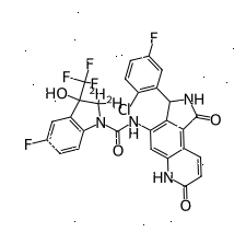 [2H]C1([2H])N(C(=O)Nc2cc3[nH]c(=O)ccc3c3c2C(c2cc(F)ccc2Cl)NC3=O)c2ccc(F)cc2C1(O)C(F)(F)F